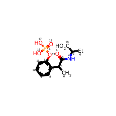 CCC(NC(=O)C(C)c1ccccc1OP(=O)(O)O)C(=O)O